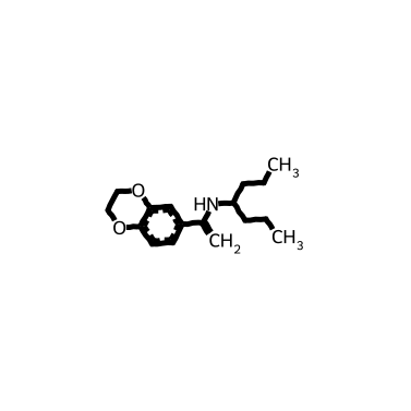 C=C(NC(CCC)CCC)c1ccc2c(c1)OCCO2